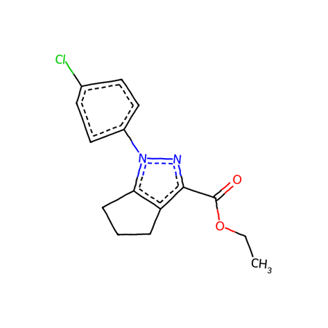 CCOC(=O)c1nn(-c2ccc(Cl)cc2)c2c1CCC2